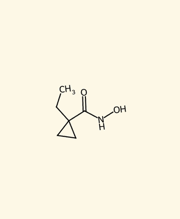 CCC1(C(=O)NO)CC1